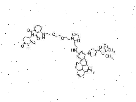 C[C@H]1CC=CC(F)=C1c1c(Cl)cc2c(N3CCN(C(=O)OC(C)(C)C)CC3)nc(NCCC(=O)N(C)CCOCCOCCNc3cccc4c3C(=O)N(C3CCC(=O)NC3=O)C4=O)nc2c1F